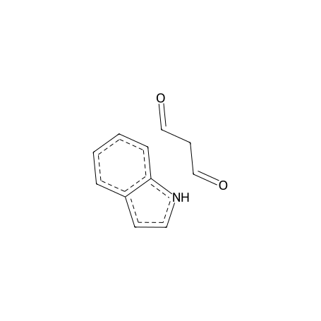 O=CCC=O.c1ccc2[nH]ccc2c1